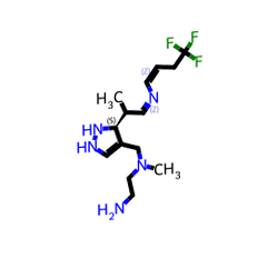 CC(/C=N\C=C/CC(F)(F)F)[C@@H]1NNC=C1CN(C)CCN